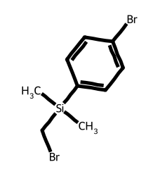 C[Si](C)(CBr)c1ccc(Br)cc1